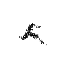 CN1C=CN(CCCCS(=O)(=O)[O][Mo](=[O])(=[O])[O][Mo](=[O])(=[O])[O][Mo](=[O])(=[O])[O][Mo](=[O])(=[O])[O]P(=O)([O][Mo](=[O])(=[O])[O][Mo](=[O])(=[O])[O][Mo](=[O])(=[O])[O][Mo](=[O])(=[O])[OH])[O][Mo](=[O])(=[O])[O][Mo](=[O])(=[O])[O][Mo](=[O])(=[O])[O][Mo](=[O])(=[O])[OH])C1.[Cu+]